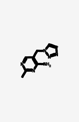 Cc1ncc(Cn2c[c]nn2)c(N)n1